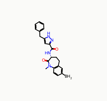 Bc1ccc2c(c1)CC[C@@H](NC(=O)c1cc(Cc3ccccc3)[nH]n1)C(=O)N2C